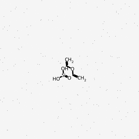 C=COC=C.O=[Si](O)O